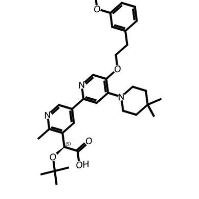 COc1cccc(CCOc2cnc(-c3cnc(C)c([C@H](OC(C)(C)C)C(=O)O)c3)cc2N2CCC(C)(C)CC2)c1